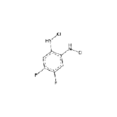 Fc1cc(NCl)c(NCl)cc1F